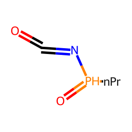 CCC[PH](=O)N=C=O